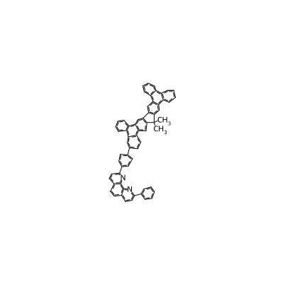 CC1(C)c2cc3c4ccccc4c4ccccc4c3cc2-c2cc3c4ccccc4c4cc(-c5ccc(-c6ccc7ccc8ccc(-c9ccccc9)nc8c7n6)cc5)ccc4c3cc21